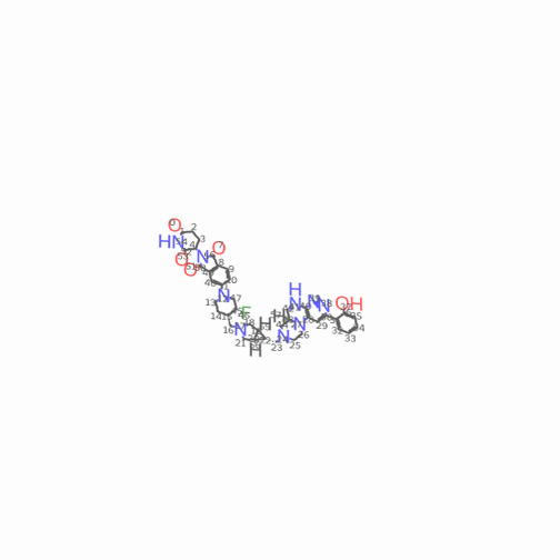 O=C1CCC(N2C(=O)c3ccc(N4CC[C@H](CN5C[C@@H]6[C@H](C5)[C@H]6CN5CCN6c7cc(-c8ccccc8O)nnc7NC[C@H]6C5)[C@@H](F)C4)cc3C2=O)C(=O)N1